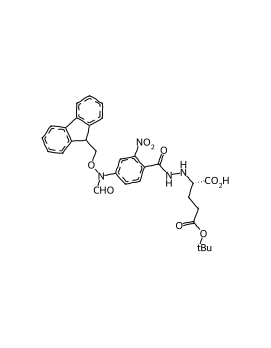 CC(C)(C)OC(=O)CC[C@H](NNC(=O)c1ccc(N(C=O)OCC2c3ccccc3-c3ccccc32)cc1[N+](=O)[O-])C(=O)O